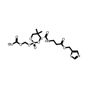 CC(C)(C)C(=O)OCOP1(=O)OCC(C)(C)[C@H](C(=O)NCCC(=O)OCc2cncs2)O1